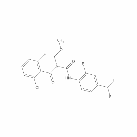 COCN(C(=O)Nc1ccc(C(F)F)cc1F)C(=O)c1c(F)cccc1Cl